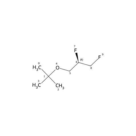 CC(C)(C)OC[C@@H](F)CF